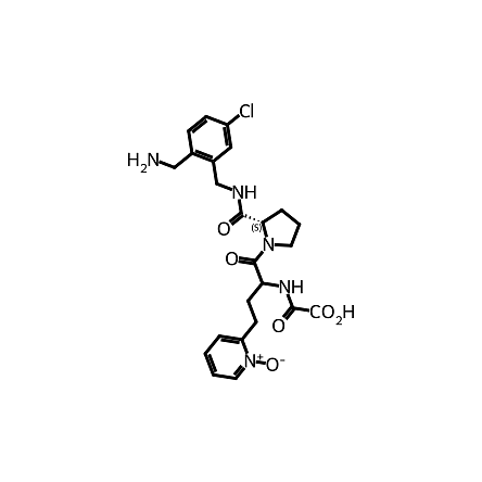 NCc1ccc(Cl)cc1CNC(=O)[C@@H]1CCCN1C(=O)C(CCc1cccc[n+]1[O-])NC(=O)C(=O)O